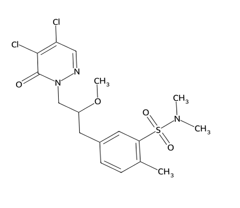 COC(Cc1ccc(C)c(S(=O)(=O)N(C)C)c1)Cn1ncc(Cl)c(Cl)c1=O